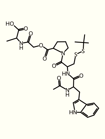 CC(=O)NC(Cc1c[nH]c2ccccc12)C(=O)NC(CSSC(C)(C)C)C(=O)N1CCCC1C(=O)OCC(=O)NC(C)C(=O)O